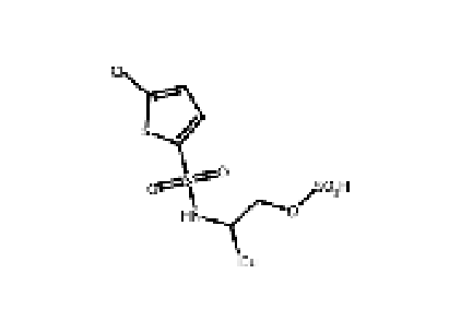 CCC(C)C(COS(=O)(=O)O)NS(=O)(=O)c1ccc(Cl)s1